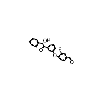 O=Cc1ccc(Oc2cccc(C(=O)C(O)c3ccccc3)c2)c(F)c1